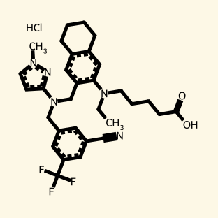 CCN(CCCCC(=O)O)c1cc2c(cc1CN(Cc1cc(C#N)cc(C(F)(F)F)c1)c1ccn(C)n1)CCCC2.Cl